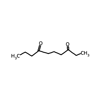 CCCC(=O)CCCC(=O)CC